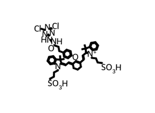 CC1(C)C(/C=C/C2=C(Oc3ccc(CCC(=O)NNc4nc(Cl)nc(Cl)n4)cc3)C(=C/C=C3/N(CCCCS(=O)(=O)O)c4ccccc4C3(C)C)/CCC2)=[N+](CCCCS(=O)(=O)O)c2ccccc21